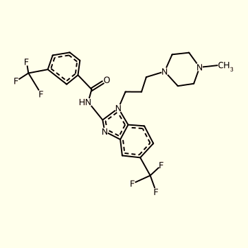 CN1CCN(CCCn2c(NC(=O)c3cccc(C(F)(F)F)c3)nc3cc(C(F)(F)F)ccc32)CC1